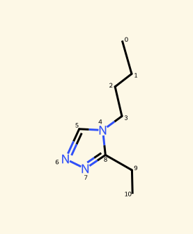 CCCCn1cnnc1CC